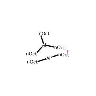 CCCCCCC[CH2][Al+][CH2]CCCCCCC.CCCCCCC[CH2][Al]([CH2]CCCCCCC)[CH2]CCCCCCC.[I-]